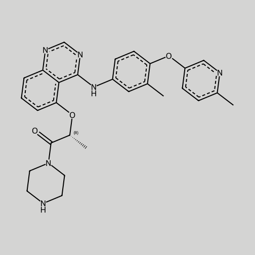 Cc1ccc(Oc2ccc(Nc3ncnc4cccc(O[C@H](C)C(=O)N5CCNCC5)c34)cc2C)cn1